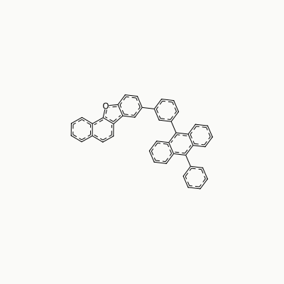 c1ccc(-c2c3ccccc3c(-c3cccc(-c4ccc5oc6c7ccccc7ccc6c5c4)c3)c3ccccc23)cc1